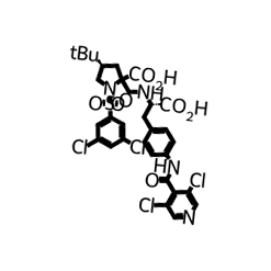 CC(C)(C)[C@@H]1CN(S(=O)(=O)c2cc(Cl)cc(Cl)c2)C(C(=O)O)(C(=O)N[C@@H](Cc2ccc(NC(=O)c3c(Cl)cncc3Cl)cc2)C(=O)O)C1